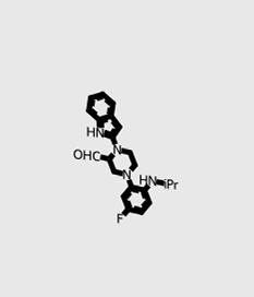 CC(C)Nc1ccc(F)cc1N1CCN(c2cc3ccccc3[nH]2)C(C=O)C1